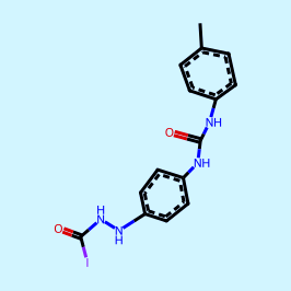 Cc1ccc(NC(=O)Nc2ccc(NNC(=O)I)cc2)cc1